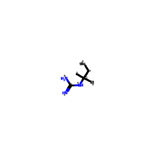 CCC(C)(CC(C)(C)C)NC(=N)N